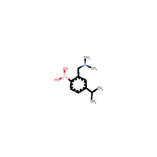 CC(C)c1ccc(B(O)O)c(CN(C)C)c1